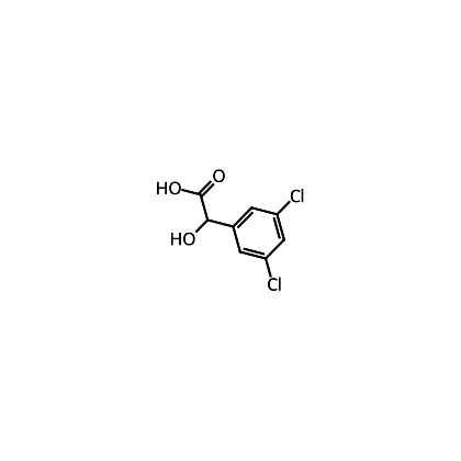 O=C(O)C(O)c1cc(Cl)cc(Cl)c1